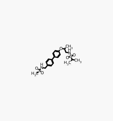 CC(CNS(=O)(=O)C(C)C)Oc1ccc(-c2ccc(CNS(C)(=O)=O)cc2)cc1